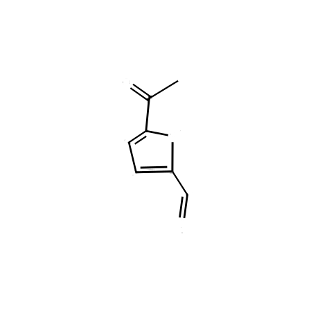 CC(=O)c1ccc(C=O)s1